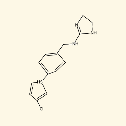 ClC1=C[SH](c2ccc(CNC3=NCCN3)cc2)C=C1